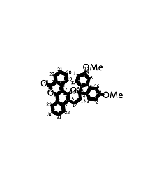 COc1ccc(C2(c3ccc(OC)cc3)C=Cc3c(c4c5ccccc5c(=O)oc4c4ccccc34)O2)cc1